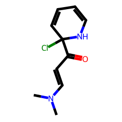 CN(C)/C=C/C(=O)C1(Cl)C=CC=CN1